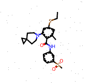 CCSc1cc(C)c(C(=O)Nc2cccc(S(C)(=O)=O)c2)c(N2CCC3(CC2)CC3)c1